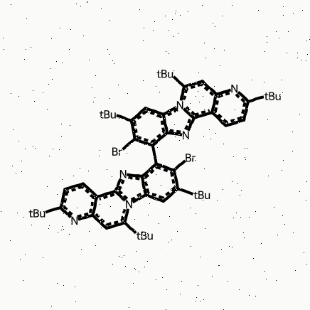 CC(C)(C)c1ccc2c(cc(C(C)(C)C)n3c4cc(C(C)(C)C)c(Br)c(-c5c(Br)c(C(C)(C)C)cc6c5nc5c7ccc(C(C)(C)C)nc7cc(C(C)(C)C)n65)c4nc23)n1